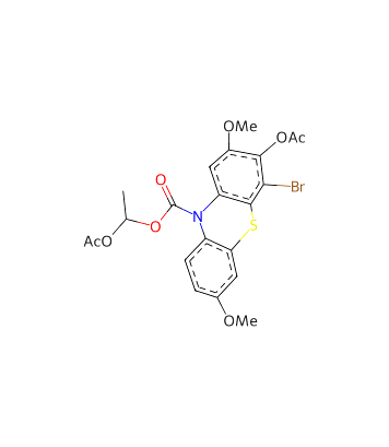 COc1ccc2c(c1)Sc1c(cc(OC)c(OC(C)=O)c1Br)N2C(=O)OC(C)OC(C)=O